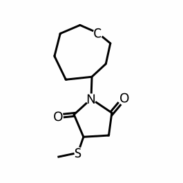 CSC1CC(=O)N(C2CCCCCCC2)C1=O